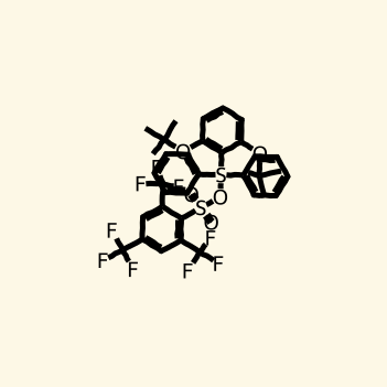 CC(C)(C)Oc1cccc(OC(C)(C)C)c1S(OS(=O)(=O)c1c(C(F)(F)F)cc(C(F)(F)F)cc1C(F)(F)F)(c1ccccc1)c1ccccc1